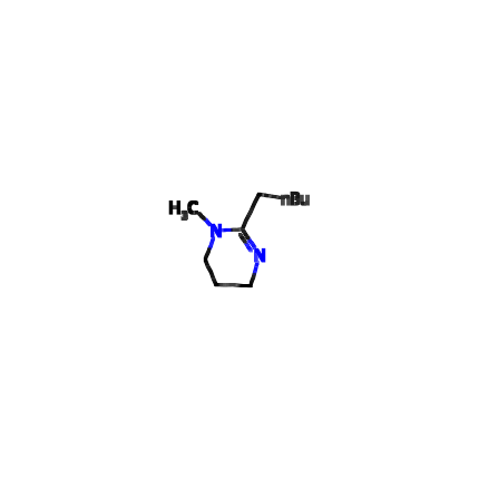 CCCCCC1=NCCCN1C